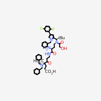 CC(C)(C)[C@H](c1cc(-c2cc(F)ccc2F)cn1Cc1ccccc1)N(CC[C@H](N)C(=O)NCCC(=O)[C@](CCC(=O)O)(C(=O)O)N(Cc1ccccc1)Cc1ccccc1)C(=O)CO